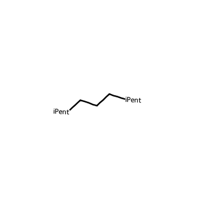 CCCC(C)CCCC(C)CCC